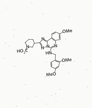 COc1ccc(CNc2nc3cc(OC)ccc3c3nc(C4CCCN(C(=O)O)C4)nn23)c(OC)c1